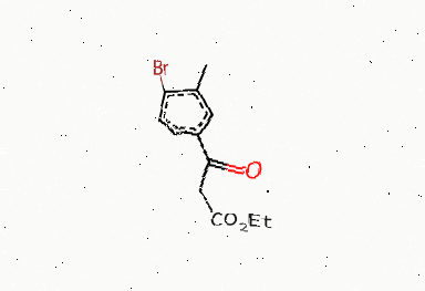 CCOC(=O)CC(=O)c1ccc(Br)c(C)c1